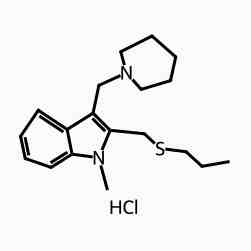 CCCSCc1c(CN2CCCCC2)c2ccccc2n1C.Cl